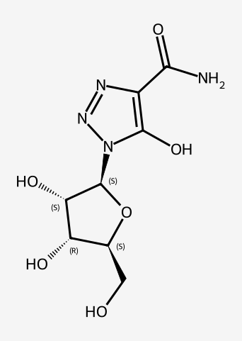 NC(=O)c1nnn([C@H]2O[C@@H](CO)[C@H](O)[C@@H]2O)c1O